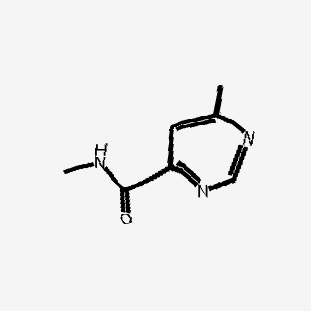 CNC(=O)c1cc(C)ncn1